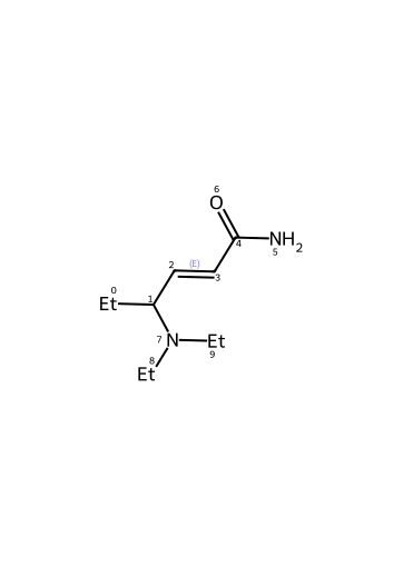 CCC(/C=C/C(N)=O)N(CC)CC